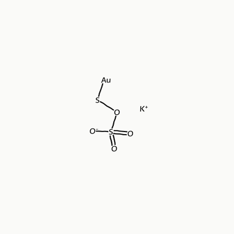 O=S(=O)([O-])O[S][Au].[K+]